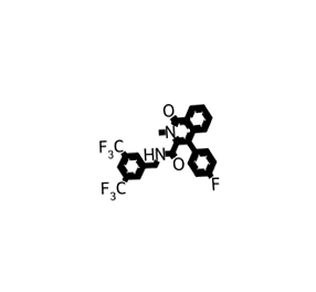 Cn1c(C(=O)NCc2cc(C(F)(F)F)cc(C(F)(F)F)c2)c(-c2ccc(F)cc2)c2ccccc2c1=O